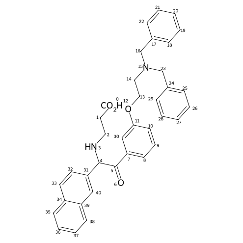 O=C(O)CCNC(C(=O)c1cccc(OCCN(Cc2ccccc2)Cc2ccccc2)c1)c1ccc2ccccc2c1